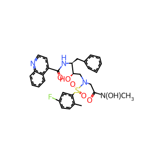 Cc1ccc(F)cc1S(=O)(=O)N(CC(=O)N(C)O)C[C@@H](O)[C@H](Cc1ccccc1)NC(=O)c1ccnc2ccccc12